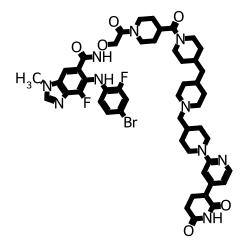 Cn1cnc2c(F)c(Nc3ccc(Br)cc3F)c(C(=O)NOCC(=O)N3CCC(C(=O)N4CCC(CC5CCN(CC6CCN(c7cc(C8CCC(=O)NC8=O)ccn7)CC6)CC5)CC4)CC3)cc21